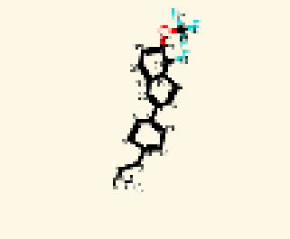 CCCc1ccc(-c2ccc3c(F)c(OC(F)(F)F)ccc3c2)cc1